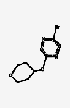 Brc1cnc(OC2CCOCC2)cn1